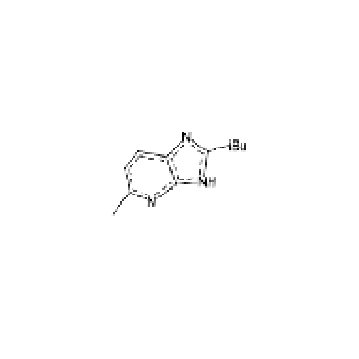 CCC(C)c1nc2ccc(C)nc2[nH]1